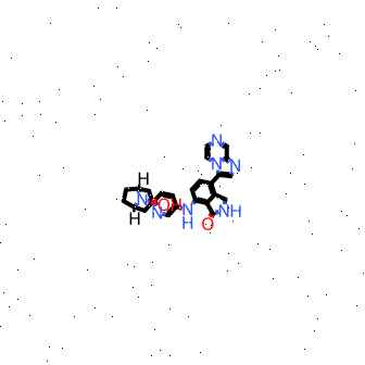 O=C1NCc2c(-c3cnc4cnccn34)ccc(Nc3ccc(N4[C@@H]5CC[C@H]4C[C@@H](O)C5)nc3)c21